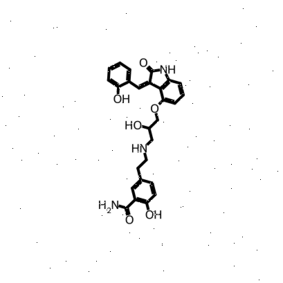 NC(=O)c1cc(CCNCC(O)COc2cccc3c2/C(=C/c2ccccc2O)C(=O)N3)ccc1O